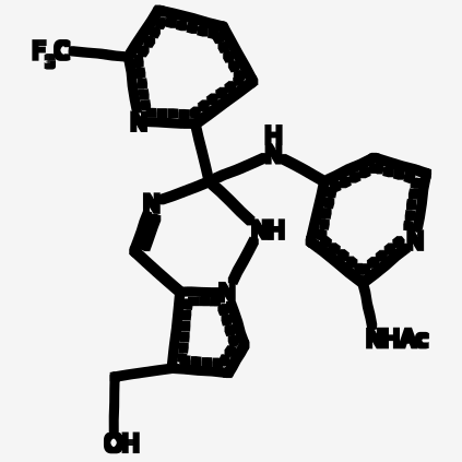 CC(=O)Nc1cc(NC2(c3cccc(C(F)(F)F)n3)N=Cc3c(CO)ccn3N2)ccn1